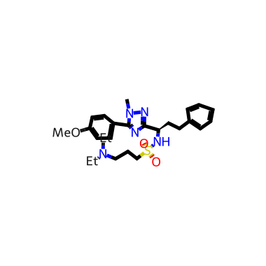 CCN(CC)CCCS(=O)(=O)N[C@H](CCc1ccccc1)c1nc(-c2ccc(OC)cc2)n(C)n1